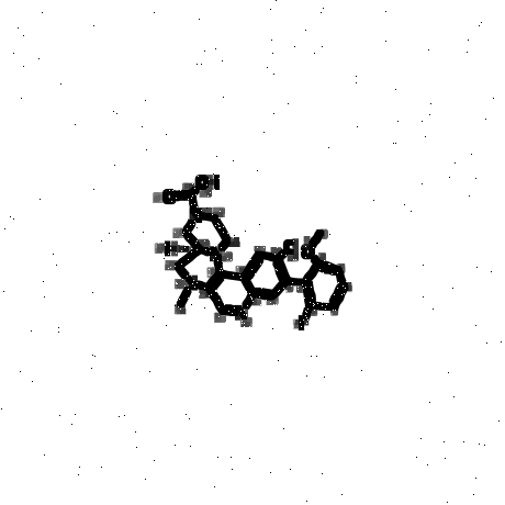 COc1cccc(F)c1-c1cc2ncc3c(c2cc1Cl)N1CCN(C(=O)O)C[C@@H]1CN3C